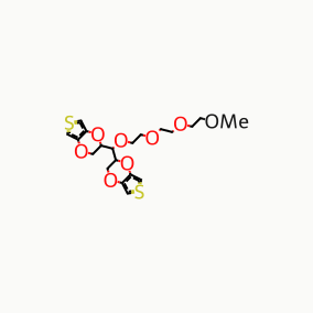 COCCOCCOCCOC(C1COc2cscc2O1)C1COc2cscc2O1